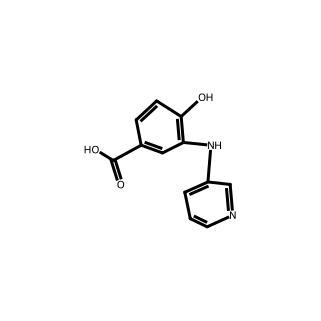 O=C(O)c1ccc(O)c(Nc2cccnc2)c1